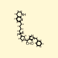 O=CC(c1cnn(Cc2ccccc2)c1)N1CC[C@@H](C(F)(F)CCCCc2ccc3c(n2)NCCC3)C1